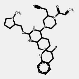 C=CC(=O)N1CCN(C2NC(OCC3CCCN3C)NC3C[C@]4(CCC32)Oc2ccccc2CC4F)CC1CC#N